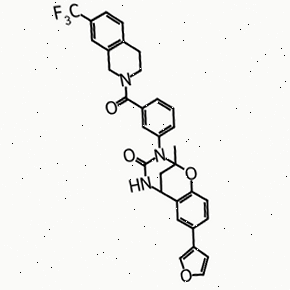 CC12CC(NC(=O)N1c1cccc(C(=O)N3CCc4ccc(C(F)(F)F)cc4C3)c1)c1cc(-c3ccoc3)ccc1O2